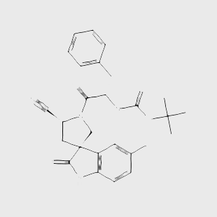 CC(C)(C)OC(=O)N[C@@H](Cc1ccccc1)C(=O)N1C[C@]2(C[C@H]1C#N)C(=O)Nc1ccc(F)cc12